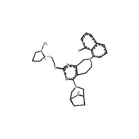 CN1CCC[C@H]1COc1nc2c(c(N3CC4CCC(C3)N4)n1)CCN(c1cccc3cccc(F)c13)C2